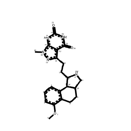 COc1cccc2c1CCC1CNC(CCc3nn(C)c4[nH]c(=O)[nH]c(=O)c34)C21